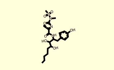 CCCCCC(O)C(O)C(Cc1ccc(O)cc1)NC(=O)c1coc(N(C)S(C)(=O)=O)n1